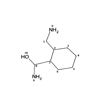 NCC1CCCCC1C(N)O